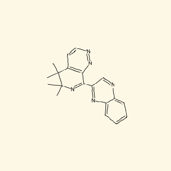 CC1(C)N=C(c2cnc3ccccc3n2)c2nnccc2C1(C)C